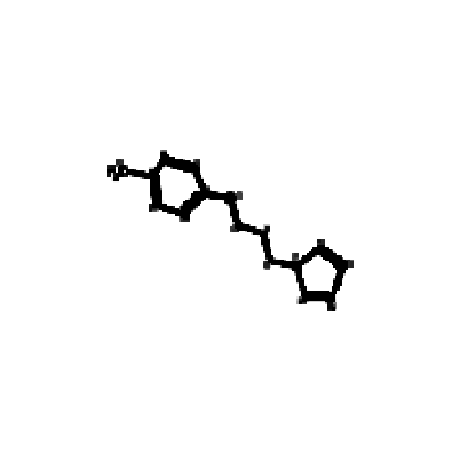 FC(F)(F)c1ccc(OCCCn2ccnc2)cc1